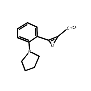 O=[C]C1=C(c2ccccc2N2CCCC2)O1